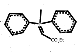 CCOC(=O)C=P(C)(c1ccccc1)c1ccccc1